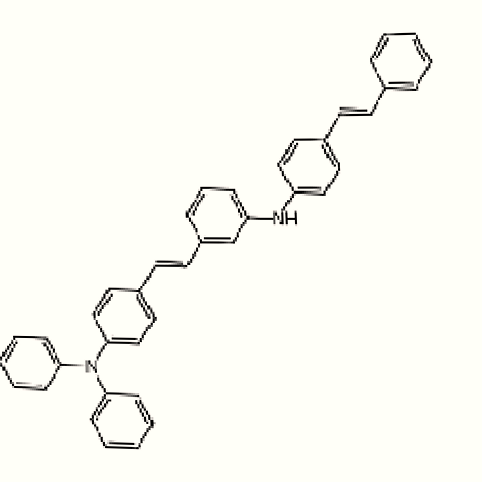 C(=Cc1ccc(Nc2cccc(C=Cc3ccc(N(c4ccccc4)c4ccccc4)cc3)c2)cc1)c1ccccc1